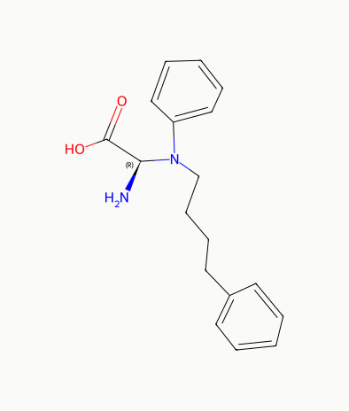 N[C@@H](C(=O)O)N(CCCCc1ccccc1)c1ccccc1